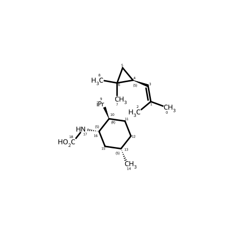 CC(C)=C[C@@H]1CC1(C)C.CC(C)[C@H]1CC[C@H](C)C[C@@H]1NC(=O)O